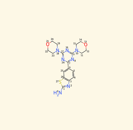 Nc1nc2ccc(-c3nc(N4CCOCC4)nc(N4CCOCC4)n3)cc2s1